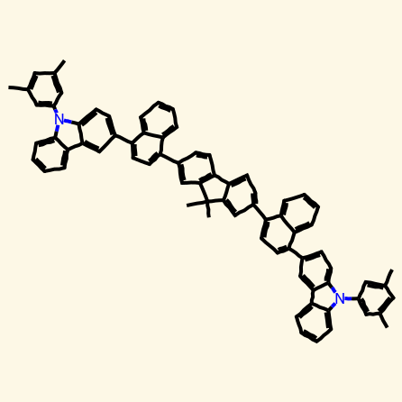 Cc1cc(C)cc(-n2c3ccccc3c3cc(-c4ccc(-c5ccc6c(c5)C(C)(C)c5cc(-c7ccc(-c8ccc9c(c8)c8ccccc8n9-c8cc(C)cc(C)c8)c8ccccc78)ccc5-6)c5ccccc45)ccc32)c1